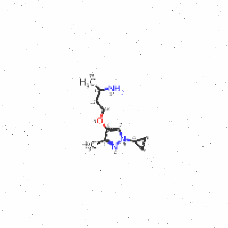 Cc1nn(C2CC2)cc1OCCC(C)N